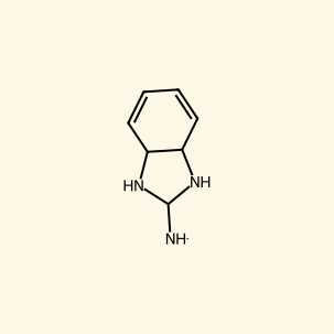 [NH]C1NC2C=CC=CC2N1